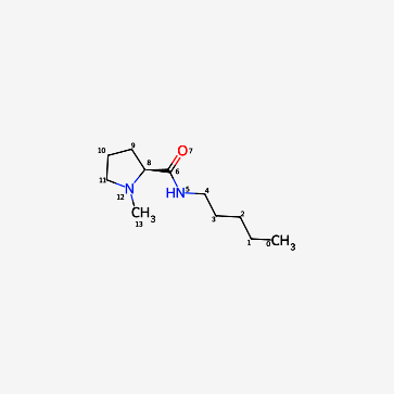 CCCCCNC(=O)[C@@H]1CCCN1C